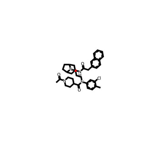 CC(=O)N1CCC(C(=O)N(CCCN2C3CCC2CC(NC(=O)Cc2ccc4ccccc4c2)C3)c2ccc(C)c(Cl)c2)CC1